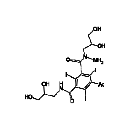 CC(=O)c1c(I)c(C(=O)NCC(O)CO)c(I)c(C(=O)N(N)CC(O)CO)c1I